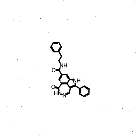 O=C(NCCc1ccccc1)c1cc2c3c(c(-c4ccccc4)[nH]c3c1)C=NNC2=O